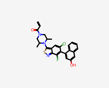 C=CC(=O)N1CC(C)N(c2snc3c(F)c(-c4cc(O)cc5ccccc45)c(Cl)cc23)C(C)C1